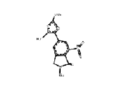 CC(=O)Nc1nc(C)c(-c2cc3c(c([SH](=O)=O)c2)C(=O)N(C(C)(C)C)C3)s1